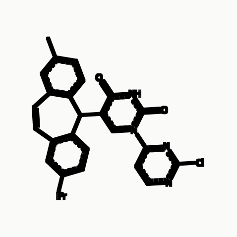 Cc1ccc2c(c1)C=Cc1cc(C(C)C)ccc1C2c1cn(-c2ccnc(Cl)n2)c(=O)[nH]c1=O